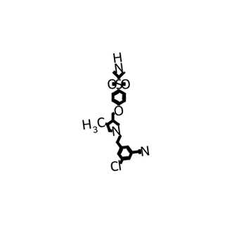 CC1CN(CCc2cc(Cl)cc(C#N)c2)CC1COc1ccc(S(=O)(=O)C2CNC2)cc1